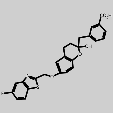 O=C(O)c1cccc(CC2(O)CCc3cc(OCc4nc5cc(F)ccc5s4)ccc3O2)c1